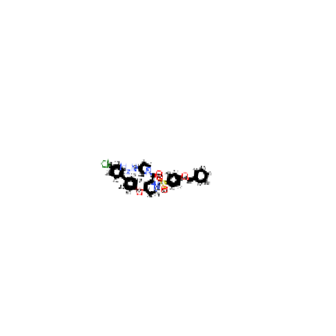 N[C@H]1CCN(C(=O)[C@@H]2C[C@H](Oc3ccc(-c4ccc(Cl)cc4)cc3)CCN2S(=O)(=O)c2ccc(OCC3CCCCC3)cc2)C1